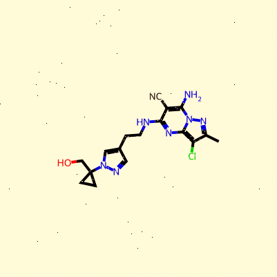 Cc1nn2c(N)c(C#N)c(NCCc3cnn(C4(CO)CC4)c3)nc2c1Cl